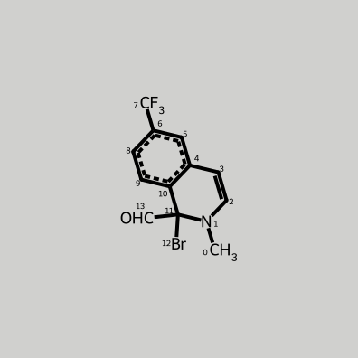 CN1C=Cc2cc(C(F)(F)F)ccc2C1(Br)C=O